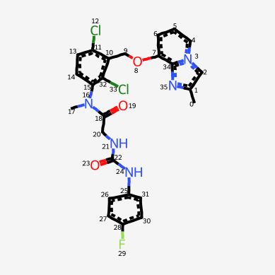 Cc1cn2cccc(OCc3c(Cl)ccc(N(C)C(=O)CNC(=O)Nc4ccc(F)cc4)c3Cl)c2n1